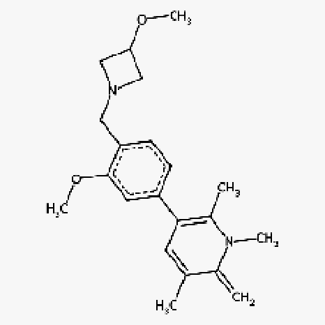 C=C1C(C)=CC(c2ccc(CN3CC(OC)C3)c(OC)c2)=C(C)N1C